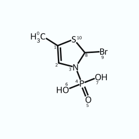 CC1=CN(P(=O)(O)O)C(Br)S1